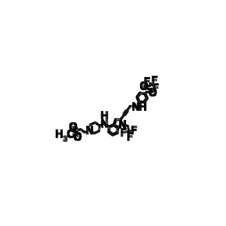 CS(=O)(=O)CCN1CCC(Nc2cccc3c2cc(C#CCNc2ccc(S(=O)(=O)C(F)(F)F)cc2)n3CC(F)(F)F)CC1